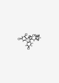 O=C(O)c1nn(-c2ccc(Cl)cc2Cl)c(-c2ccc(Cl)cc2)c1Cn1cncn1